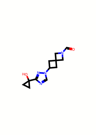 O=CN1CC2(CC(n3cnc(C4(O)CC4)n3)C2)C1